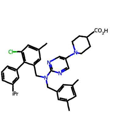 Cc1cc(C)cc(CN(Cc2cc(C)cc(Cl)c2-c2cccc(C(C)C)c2)c2ncc(N3CCC(C(=O)O)CC3)cn2)c1